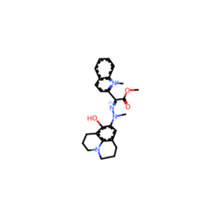 COC(=O)/C(=N\N(C)c1cc2c3c(c1O)CCCN3CCC2)c1ccc2ccccc2[n+]1C